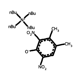 CCCC[N+](CCCC)(CCCC)CCCC.Cc1cc([N+](=O)[O-])c([O-])c([N+](=O)[O-])c1C